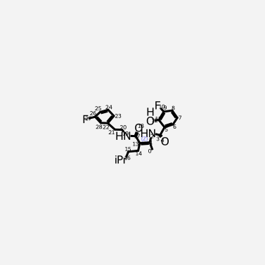 C/C(NC(=O)c1cccc(F)c1O)=C(\CCC(C)C)C(=O)NCCc1cccc(F)c1